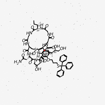 CC[C@H](C)[C@@H]1NC(=O)CNC(=O)C2Cc3c([nH]c4cc(OCCCSC(c5ccccc5)(c5ccccc5)c5ccccc5)ccc34)[S+]([O-])CC(NC(=O)CNC1=O)C(=O)N[C@@H](CC(N)=O)C(=O)N1C[C@H](O)C[C@H]1C(=O)N[C@@H]([C@@H](C)[C@@H](O)CO)C(=O)N2